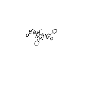 CCn1c(N2CCN(C)C(=O)C2)nc2c(N3CCCCC3)nc(-n3cc(-c4ccccc4)c(OC)n3)nc21